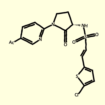 CC(=O)c1ccc(N2CC[C@H](NS(=O)(=O)C=Cc3ccc(Cl)s3)C2=O)nc1